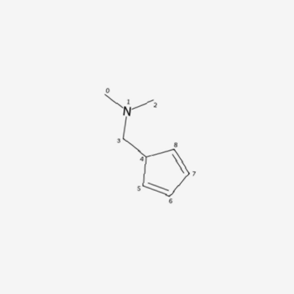 CN(C)CC1C=CC=C1